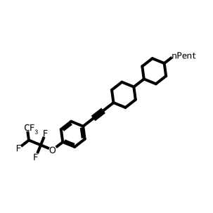 CCCCCC1CCC(C2CCC(C#Cc3ccc(OC(F)(F)C(F)C(F)(F)F)cc3)CC2)CC1